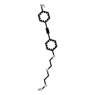 CCCOCCOCCOc1ccc(C#Cc2ccc(N)cc2)cc1